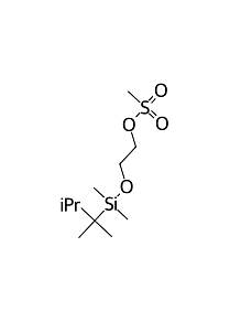 CC(C)C(C)(C)[Si](C)(C)OCCOS(C)(=O)=O